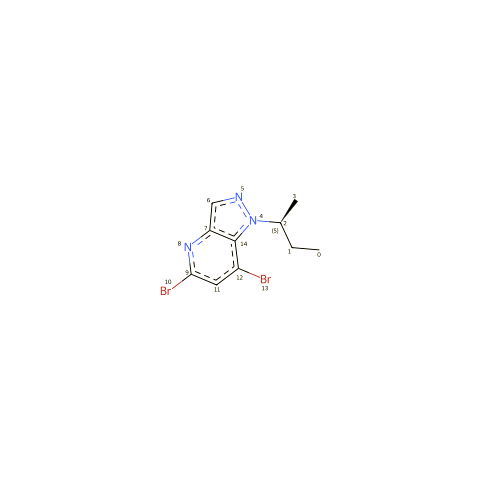 CC[C@H](C)n1ncc2nc(Br)cc(Br)c21